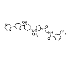 CN(C1CCC(O)(c2ccc(-c3cnccn3)cn2)CC1)[C@H]1CCN(C(=O)CNC(=O)c2cccc(C(F)(F)F)c2)C1